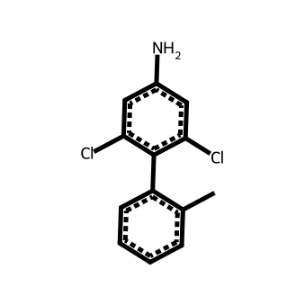 Cc1ccccc1-c1c(Cl)cc(N)cc1Cl